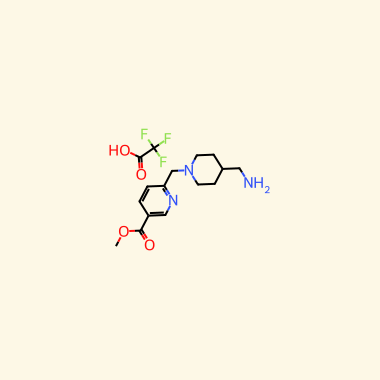 COC(=O)c1ccc(CN2CCC(CN)CC2)nc1.O=C(O)C(F)(F)F